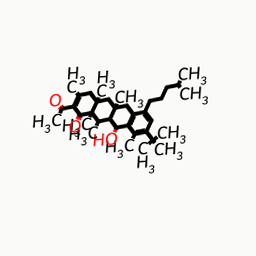 CC(=O)C1=C(C)CC2(C)CC3(C)Cc4c(CCCC(C)C)cc(C(C)(C)C)c(C)c4C(O)C3C(C)C2(C)C1=O